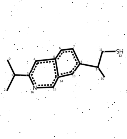 CC(C)c1cc2ccc(C(C)CS)cc2cn1